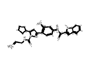 C=CCNC(=O)n1nc(-c2ccc(NC(=O)c3cc4ccccc4s3)cc2O)cc1C1CCCC1